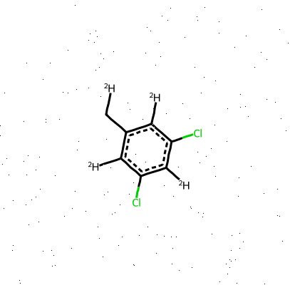 [2H]Cc1c([2H])c(Cl)c([2H])c(Cl)c1[2H]